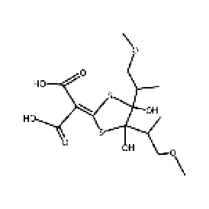 COCC(C)C1(O)SC(=C(C(=O)O)C(=O)O)SC1(O)C(C)COC